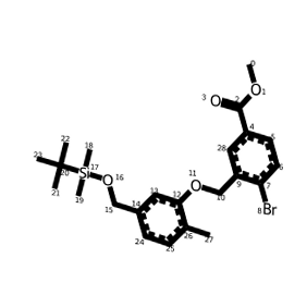 COC(=O)c1ccc(Br)c(COc2cc(CO[Si](C)(C)C(C)(C)C)ccc2C)c1